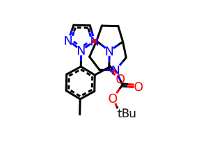 Cc1ccc(-n2nccn2)c(C(=O)N2C3CCC2CN(C(=O)OC(C)(C)C)CC3)c1